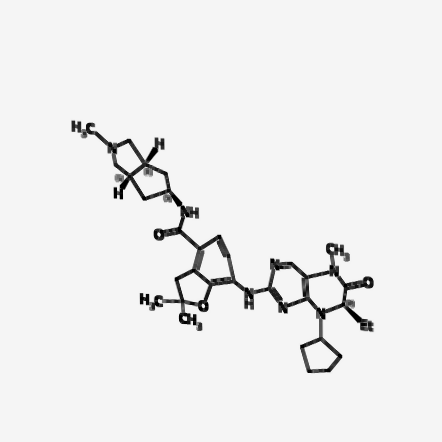 CC[C@@H]1C(=O)N(C)c2cnc(Nc3ccc(C(=O)N[C@H]4C[C@@H]5CN(C)C[C@@H]5C4)c4c3OC(C)(C)C4)nc2N1C1CCCC1